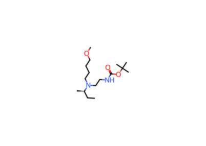 CC[C@@H](C)N(CCCCOC)CCNC(=O)OC(C)(C)C